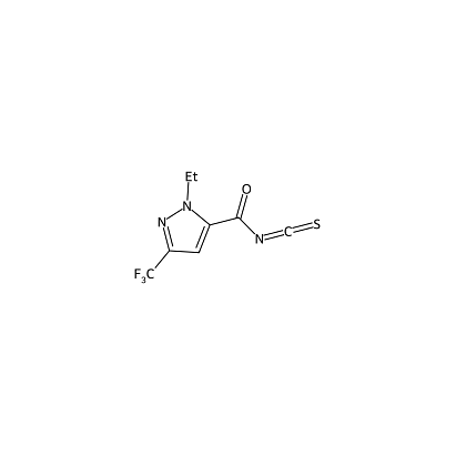 CCn1nc(C(F)(F)F)cc1C(=O)N=C=S